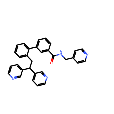 O=C(NCc1ccncc1)c1cccc(-c2ccccc2CC(c2cccnc2)c2cccnc2)c1